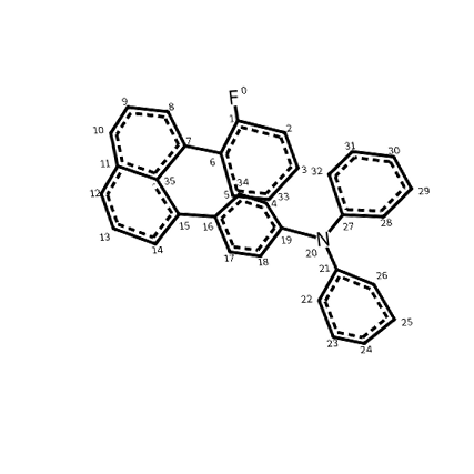 Fc1ccccc1-c1cccc2cccc(-c3ccc(N(c4ccccc4)c4ccccc4)cc3)c12